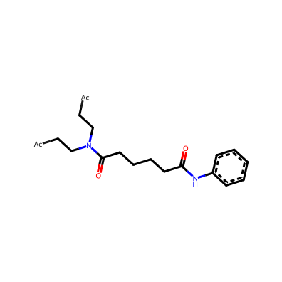 CC(=O)CCN(CCC(C)=O)C(=O)CCCCC(=O)Nc1ccccc1